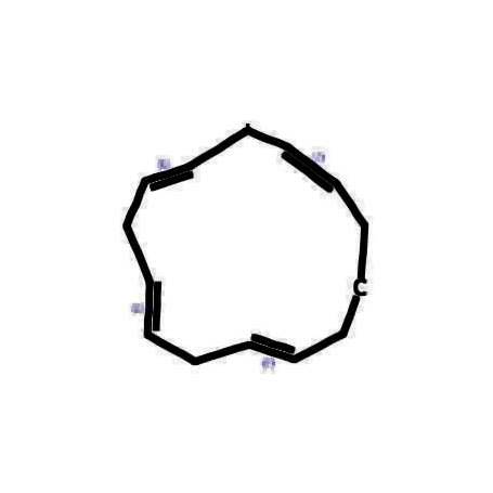 [CH]1/C=C\CCC/C=C/C/C=C/C/C=C/1